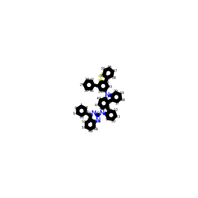 c1ccc(-c2nc(-n3c4ccccc4c4c5c6ccccc6n(-c6cc(-c7ccccc7)c7sc8ccccc8c7c6)c5ccc43)nc3ccccc23)cc1